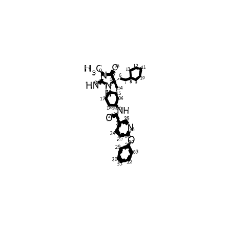 CN1C(=N)N[C@](CCC2CCCCC2)(C[C@H]2CCCC(NC(=O)c3ccc(Oc4ccccc4)nc3)C2)C1=O